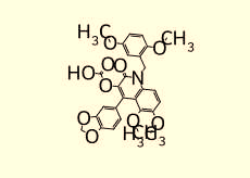 COc1ccc(OC)c(Cn2c(=O)c(OC(=O)O)c(-c3ccc4c(c3)OCO4)c3c(OC)c(OC)ccc32)c1